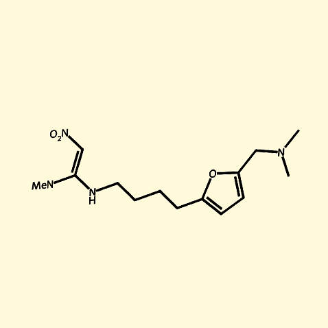 CNC(=C[N+](=O)[O-])NCCCCc1ccc(CN(C)C)o1